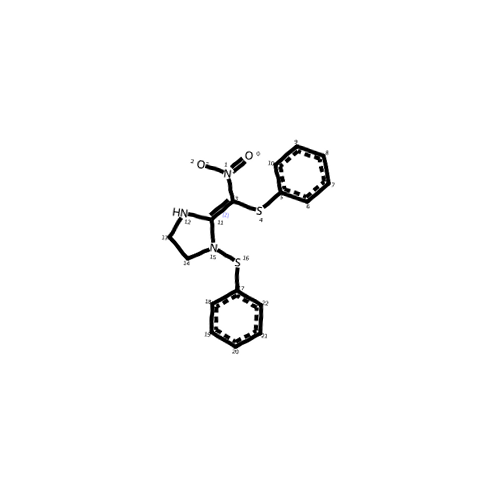 O=[N+]([O-])/C(Sc1ccccc1)=C1\NCCN1Sc1ccccc1